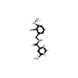 Cc1cc(C(=O)NCc2cccc(OC(F)(F)F)c2F)ncn1